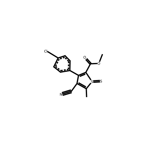 COC(=O)C1=C(c2ccc(Cl)cc2)C(C#N)=C(C)S1=S